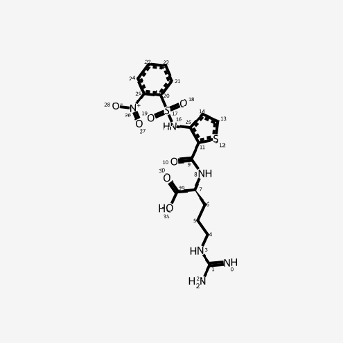 N=C(N)NCCC[C@H](NC(=O)c1sccc1NS(=O)(=O)c1ccccc1[N+](=O)[O-])C(=O)O